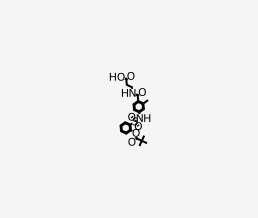 Cc1cc(NS(=O)(=O)c2ccccc2OC(=O)C(C)(C)C)ccc1C(=O)NCCC(=O)O